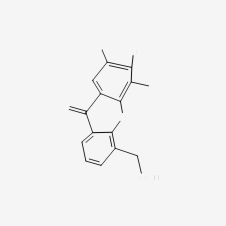 Cc1cc2c(=O)c3cccc(CC(=O)O)c3oc2c(C)c1C